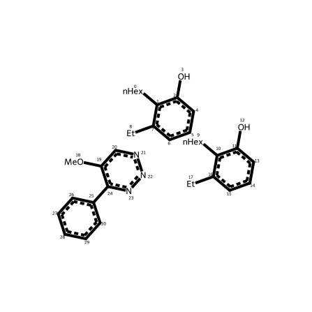 CCCCCCc1c(O)cccc1CC.CCCCCCc1c(O)cccc1CC.COc1cnnnc1-c1ccccc1